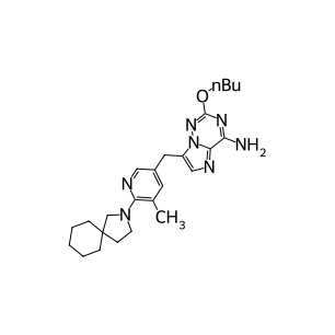 CCCCOc1nc(N)c2ncc(Cc3cnc(N4CCC5(CCCCC5)C4)c(C)c3)n2n1